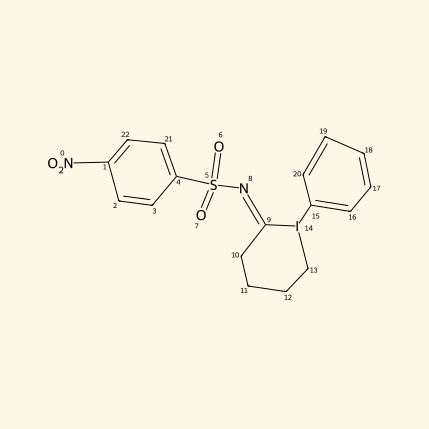 O=[N+]([O-])c1ccc(S(=O)(=O)N=C2CCCCI2c2ccccc2)cc1